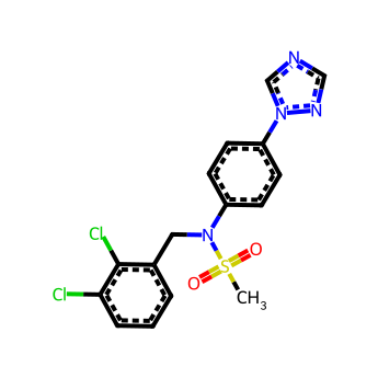 CS(=O)(=O)N(Cc1cccc(Cl)c1Cl)c1ccc(-n2cncn2)cc1